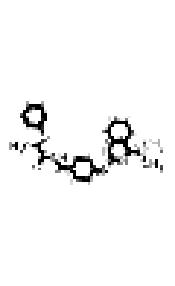 CC(Oc1ccccc1)C(=O)NCC1CCC(Nc2nc3c(c(N(C)C)n2)CCCC3)CC1